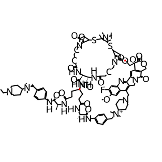 CCN1CCC([N+](C)(C)Cc2ccc(NC(=O)[C@H](C)NC(=O)CCCNC(=O)[C@H]3NC(=O)CCCN4C(=O)CC(SC5(C)C(C)(SC6CC(=O)N(CCCC(=O)N[C@@H]3C(=O)NCCCC(=O)N[C@@H](C)C(=O)Nc3ccc(C[N+](C)(C)C7CCN(Cc8c9c(nc%10cc(F)c(OC)cc8%10)-c8cc%10c(c(=O)n8C9)COC(=O)[C@]%10(O)CC)CC7)cc3)C6=O)[N+]5(C)I)C4=O)cc2)CC1